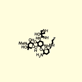 CN[C@@H]1C(O)[C@@H](OC2C(O)C(O[C@H]3O[C@H](CNCCF)CCC3N)[C@@H](N)C[C@H]2NC(=N)C2(O)CNC2)OCC1(C)O